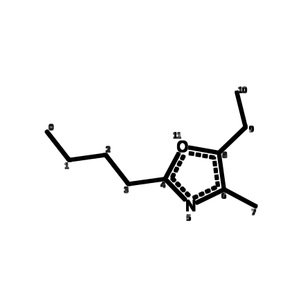 CCCCc1nc(C)c(CC)o1